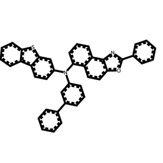 c1ccc(-c2cccc(N(c3ccc4c(c3)sc3ccccc34)c3cccc4c3ccc3oc(-c5ccccc5)nc34)c2)cc1